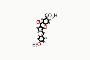 CCOc1ccc(C=C2CCc3c2oc2ccc(C(=O)O)cc2c3=O)cc1